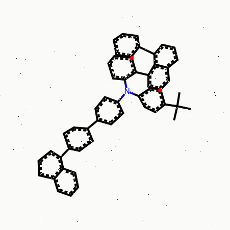 CC(C)(C)c1ccc(N(c2ccc(-c3ccc(-c4cccc5ccccc45)cc3)cc2)c2ccccc2-c2cccc3cccc(-c4ccccc4)c23)cc1